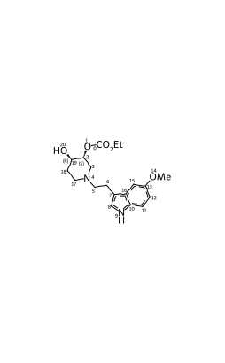 CCOC(=O)O[C@H]1CN(CCc2c[nH]c3ccc(OC)cc23)CC[C@H]1O